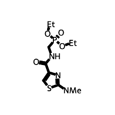 CCOP(=O)(CNC(=O)c1csc(NC)n1)OCC